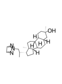 CC(Cn1nccn1)[C@H]1CC[C@H]2[C@@H]3CC[C@H]4C[C@](C)(O)CC[C@@H]4[C@H]3CC[C@]12C